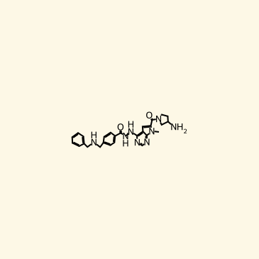 Cn1c(C(=O)N2CCC(N)C2)cc2c(NNC(=O)c3ccc(CNCc4ccccc4)cc3)ncnc21